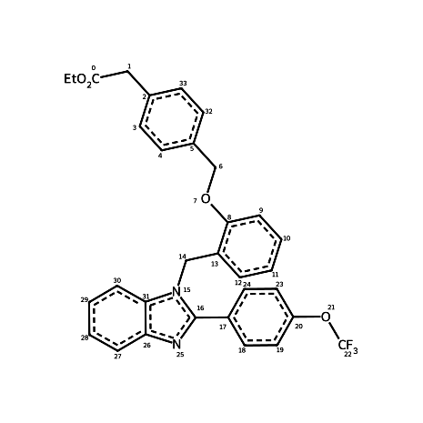 CCOC(=O)Cc1ccc(COc2ccccc2Cn2c(-c3ccc(OC(F)(F)F)cc3)nc3ccccc32)cc1